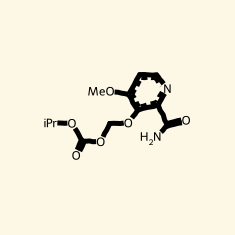 COc1ccnc(C(N)=O)c1OCOC(=O)OC(C)C